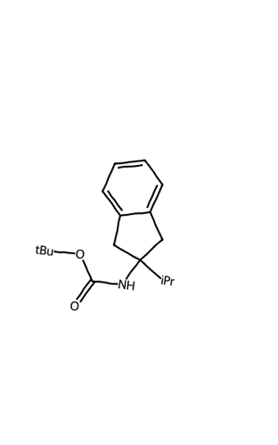 CC(C)C1(NC(=O)OC(C)(C)C)Cc2ccccc2C1